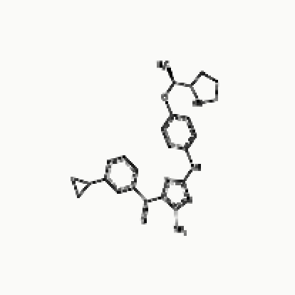 C[C@H](Oc1ccc(Nc2nc(N)c(C(=O)c3cccc(C4CC4)c3)s2)cc1)C1CCCN1